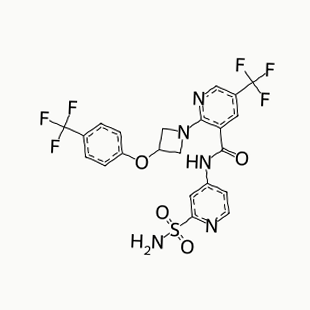 NS(=O)(=O)c1cc(NC(=O)c2cc(C(F)(F)F)cnc2N2CC(Oc3ccc(C(F)(F)F)cc3)C2)ccn1